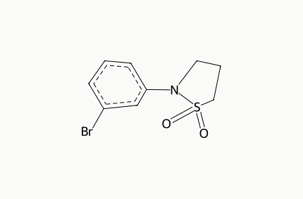 O=S1(=O)CCCN1c1cccc(Br)c1